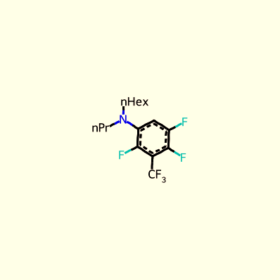 CCCCCCN(CCC)c1cc(F)c(F)c(C(F)(F)F)c1F